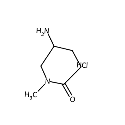 CN1CC(N)CCC1=O.Cl